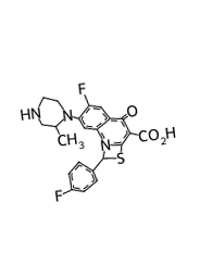 CC1CNCCN1c1cc2c(cc1F)c(=O)c(C(=O)O)c1n2C(c2ccc(F)cc2)S1